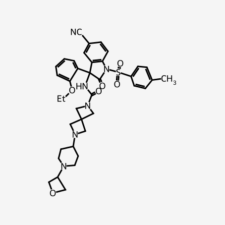 CCOc1ccccc1C1(NC(=O)N2CC3(C2)CN(C2CCN(C4COC4)CC2)C3)C(=O)N(S(=O)(=O)c2ccc(C)cc2)c2ccc(C#N)cc21